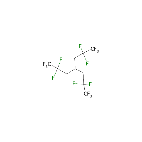 FC(F)(F)C(F)(F)CC(CC(F)(F)C(F)(F)F)CC(F)(F)C(F)(F)F